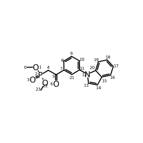 COP(=O)(CC(=O)c1cccc(-n2ccc3ccccc32)c1)OC